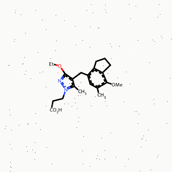 CCOc1nn(CCC(=O)O)c(C)c1Cc1cc(C)c(OC)c2c1CCC2